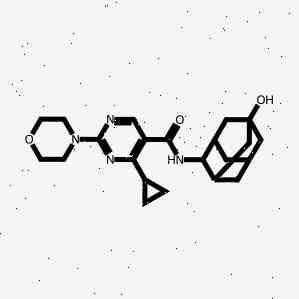 O=C(NC1C2CC3CC1CC(O)(C3)C2)c1cnc(N2CCOCC2)nc1C1CC1